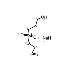 C=CCOS(=O)(=O)CCCO.[NaH]